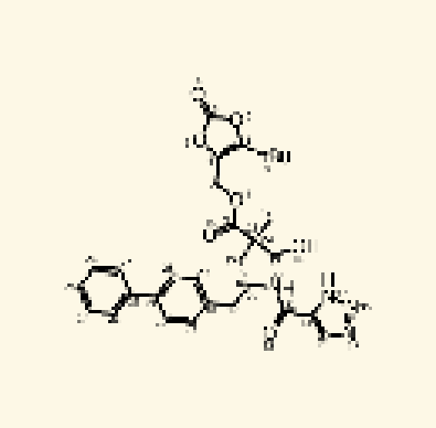 CC(C)(C)c1oc(=O)oc1COC(=O)[C@](C)(CO)C[C@@H](Cc1ccc(-c2ccccc2)cc1)NC(=O)c1cnn[nH]1